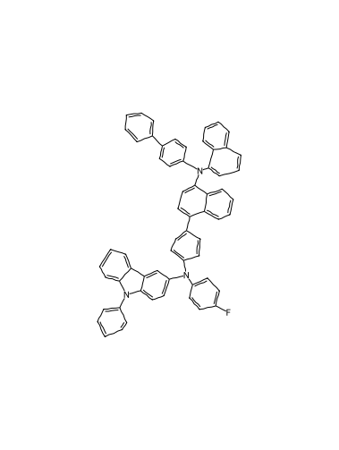 Fc1ccc(N(c2ccc(-c3ccc(N(c4ccc(-c5ccccc5)cc4)c4cccc5ccccc45)c4ccccc34)cc2)c2ccc3c(c2)c2ccccc2n3-c2ccccc2)cc1